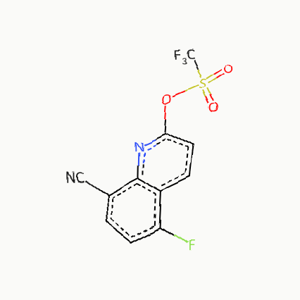 N#Cc1ccc(F)c2ccc(OS(=O)(=O)C(F)(F)F)nc12